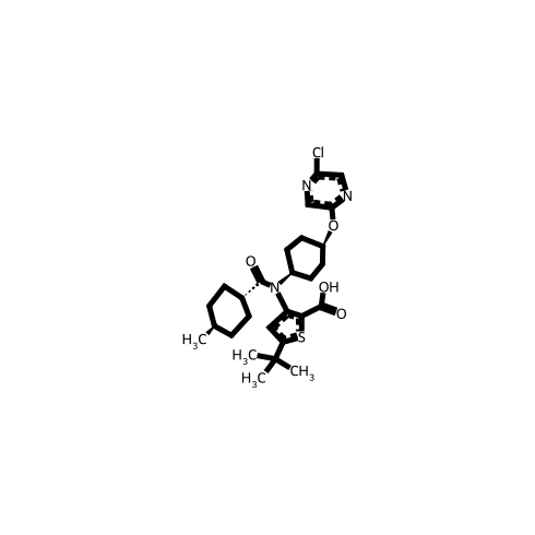 CC(C)(C)c1cc(N(C(=O)[C@H]2CC[C@H](C)CC2)[C@H]2CC[C@@H](Oc3cnc(Cl)cn3)CC2)c(C(=O)O)s1